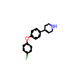 Fc1ccc(Oc2ccc(C3=CCNCC3)cc2)cc1